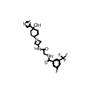 O=C(CNC(=O)c1cc(F)cc(C(F)(F)F)c1)NC1CN(C2CCC(O)(c3cncs3)CC2)C1